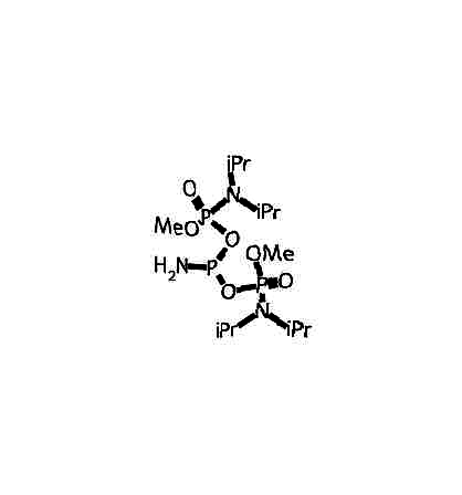 COP(=O)(OP(N)OP(=O)(OC)N(C(C)C)C(C)C)N(C(C)C)C(C)C